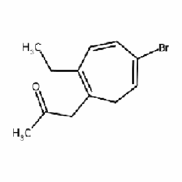 CCC1=C(CC(C)=O)CC=C(Br)C=C1